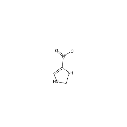 O=[N+]([O-])C1=CNCN1